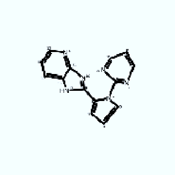 c1cnc(-n2cccc2-c2nc3ncccc3[nH]2)nc1